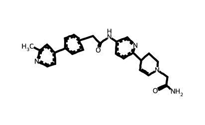 Cc1cc(-c2ccc(CC(=O)Nc3ccc(C4C=CN(CC(N)=O)CC4)nc3)cc2)ccn1